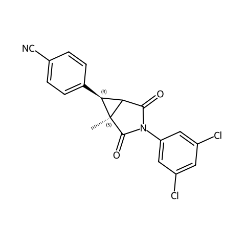 C[C@@]12C(=O)N(c3cc(Cl)cc(Cl)c3)C(=O)C1[C@@H]2c1ccc(C#N)cc1